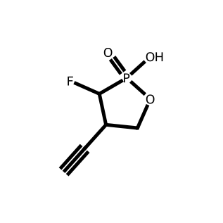 C#CC1COP(=O)(O)C1F